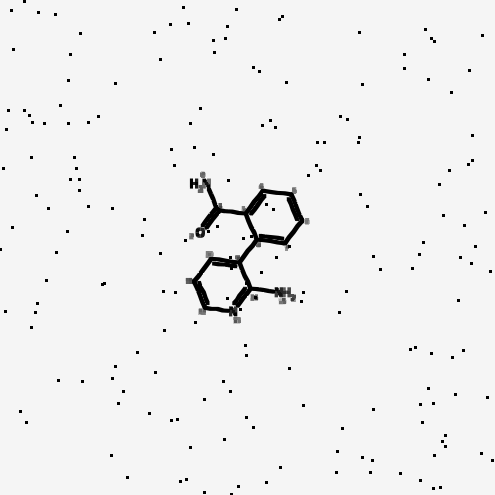 NC(=O)c1ccccc1-c1cccnc1N